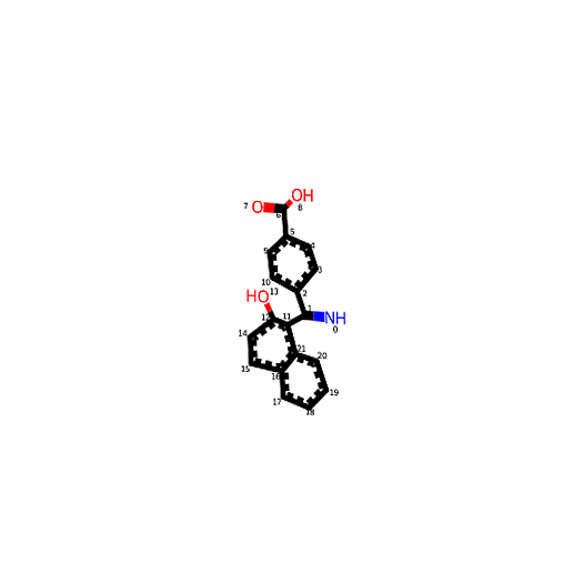 N=C(c1ccc(C(=O)O)cc1)c1c(O)ccc2ccccc12